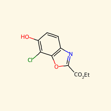 CCOC(=O)c1nc2ccc(O)c(Cl)c2o1